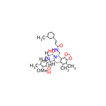 COc1c(C)cc2c(c1O)[C@H]1[C@@H]3Cc4c(C)c(C)c5c(c4[C@H](CNC(=O)/C=C/c4cccc(C)c4)N3[C@@H](O)[C@@H](C2)N1C)OCO5